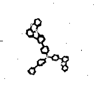 c1ccc(-c2ccc(N(c3ccc(-c4ccc5c(c4)c4cccc6c4n5-c4ccccc4O6)cc3)c3ccc(-c4cccc5c4sc4ccccc45)cc3)cc2)cc1